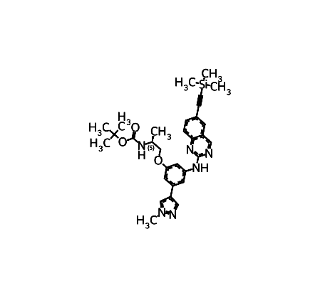 C[C@@H](COc1cc(Nc2ncc3cc(C#C[Si](C)(C)C)ccc3n2)cc(-c2cnn(C)c2)c1)NC(=O)OC(C)(C)C